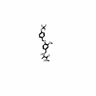 CNC(=O)C(C)NCc1ccc(OCc2ccc(SC(F)(F)F)cc2)c(OC)c1